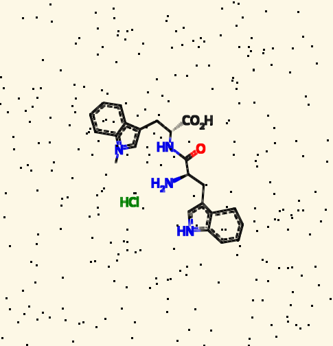 Cl.Cn1cc(C[C@@H](NC(=O)[C@H](N)Cc2c[nH]c3ccccc23)C(=O)O)c2ccccc21